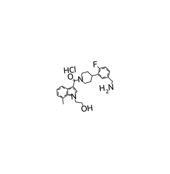 Cc1cccc2c(C(=O)N3CCC(c4cc(CN)ccc4F)CC3)cn(CCO)c12.Cl